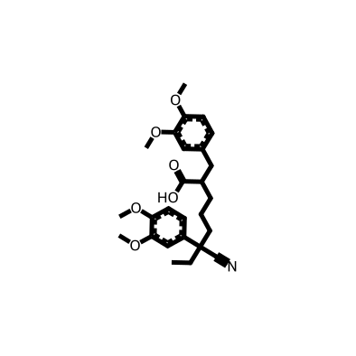 CCC(C#N)(CCCC(Cc1ccc(OC)c(OC)c1)C(=O)O)c1ccc(OC)c(OC)c1